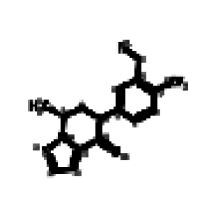 C[C@H]1CN(c2ccc(C(F)(F)F)c(CF)c2)C(=O)c2ccnn21